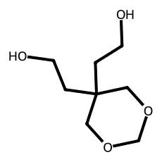 OCCC1(CCO)COCOC1